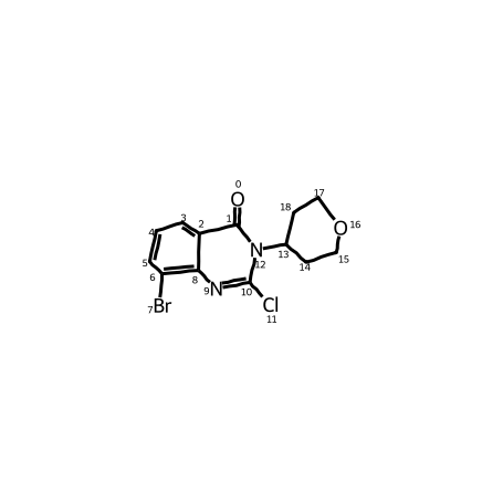 O=c1c2cccc(Br)c2nc(Cl)n1C1CCOCC1